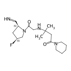 CC(C)(CC(=O)N1CCCCC1)NCC(=O)N1C[C@@H](F)C[C@H]1C=N